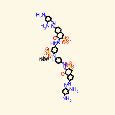 Nc1ccc(N=Nc2ccc3c(c2)C(=O)/C(=N/Nc2ccc(Nc4ccc(N/N=C5\C(=O)c6cc(N=Nc7ccc(N)cc7N)ccc6C=C5S(=O)(=O)[O-])cc4S(=O)(=O)[O-])cc2)C(S(=O)(=O)[O-])=C3)c(N)c1.[Na+].[Na+].[Na+]